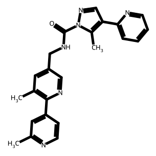 Cc1cc(-c2ncc(CNC(=O)n3ncc(-c4ccccn4)c3C)cc2C)ccn1